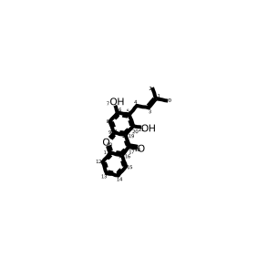 CC(C)=CCc1c(O)cc2oc3ccccc3c(=O)c2c1O